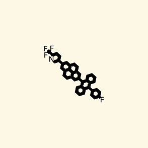 Fc1ccc(-c2c3ccccc3c(-c3cc4ccc5cc(-c6ccc(C(F)(F)F)nc6)cc6ccc(c3)c4c56)c3ccccc23)cc1